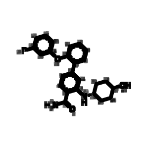 NC(=O)c1ccc(-c2ccccc2Oc2cccc(F)c2)cc1N[C@H]1CC[C@H](O)CC1